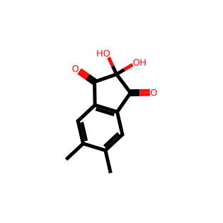 Cc1cc2c(cc1C)C(=O)C(O)(O)C2=O